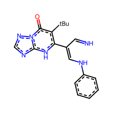 CC(C)(C)c1c(/C(C=N)=C/Nc2ccccc2)[nH]c2ncnn2c1=O